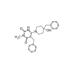 Cn1c(=O)[nH]c(N2CCC(O)(Cc3ccccc3)CC2)c(Cc2ccccc2)c1=O